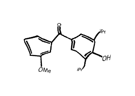 COc1cccc(C(=O)c2cc(C(C)C)c(O)c(C(C)C)c2)c1